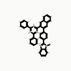 Cn1c(-c2ccc(-c3cc4ccccc4cc3-c3nc(-c4ccccc4)nc(-c4ccccc4)n3)cc2)nc2ccccc21